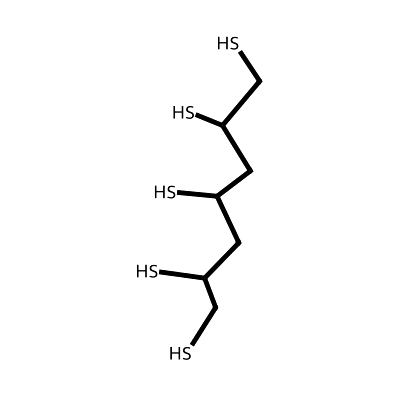 SCC(S)CC(S)CC(S)CS